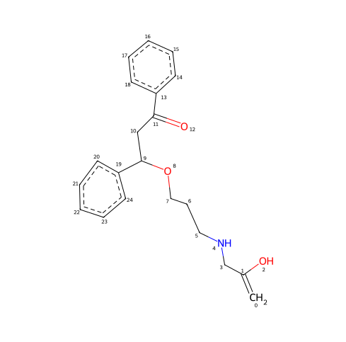 C=C(O)CNCCCOC(CC(=O)c1ccccc1)c1ccccc1